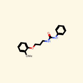 COc1c[c]ccc1OCCCNC(=O)Nc1ccccc1